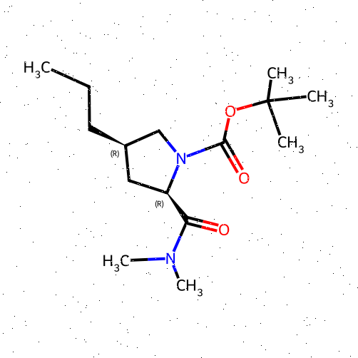 CCC[C@@H]1C[C@H](C(=O)N(C)C)N(C(=O)OC(C)(C)C)C1